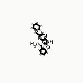 C[C@@H](c1ccccc1)n1c(=O)[nH]c2ncc(CN3CCCCC3)nc21